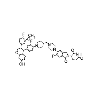 COc1cc([C@H]2COc3cc(O)ccc3C2c2ccc(N3CCC(CN4CCN(c5cc6c(cc5F)C(=O)N([C@H]5CCC(=O)NC5=O)C6)CC4)CC3)c(F)c2)ccc1F